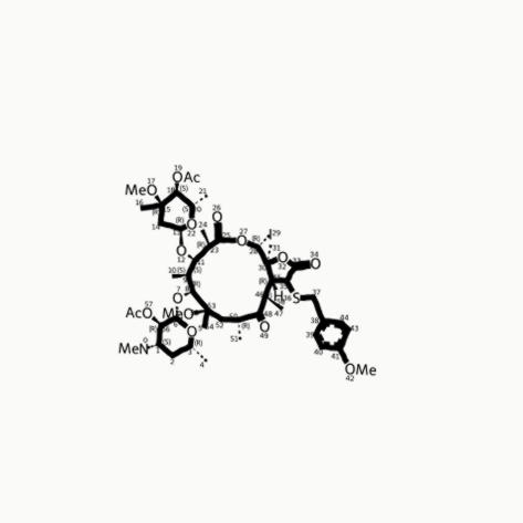 CN[C@H]1C[C@@H](C)O[C@@H](O[C@@H]2[C@@H](C)[C@H](O[C@H]3C[C@@](C)(OC)[C@@H](OC(C)=O)[C@H](C)O3)[C@@H](C)C(=O)O[C@H](I)[C@@]3(C)OC(=O)C(SCc4ccc(OC)cc4)[C@@H]3[C@@H](C)C(=O)[C@H](C)C[C@@]2(C)OC)[C@@H]1OC(C)=O